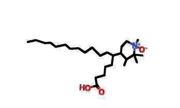 CCCCCCCCCCCCC(CCCCC(=O)O)C1CC[N+](C)([O-])C(C)(C)C1C